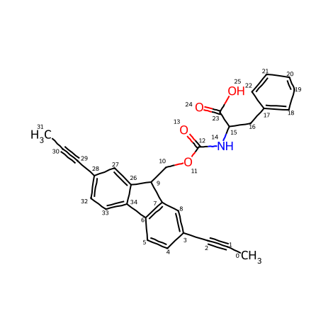 CC#Cc1ccc2c(c1)C(COC(=O)NC(Cc1ccccc1)C(=O)O)c1cc(C#CC)ccc1-2